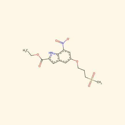 CCOC(=O)c1cc2cc(OCCCS(C)(=O)=O)cc([N+](=O)[O-])c2[nH]1